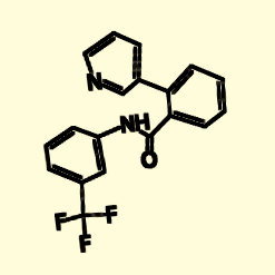 O=C(Nc1cccc(C(F)(F)F)c1)c1ccccc1-c1cccnc1